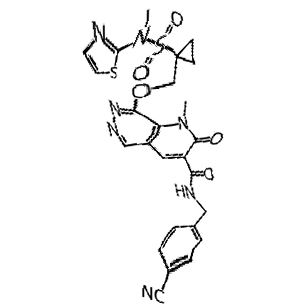 CN(c1nccs1)S(=O)(=O)C1(COc2nncc3cc(C(=O)NCc4ccc(C#N)cc4)c(=O)n(C)c23)CC1